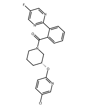 O=C(c1ccccc1-c1ncc(F)cn1)N1CCC[C@@H](Oc2ccc(Cl)cn2)C1